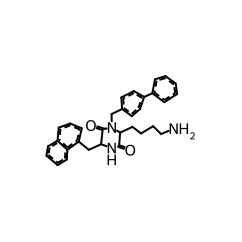 NCCCCC1C(=O)NC(Cc2cccc3ccccc23)C(=O)N1Cc1ccc(-c2ccccc2)cc1